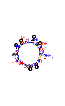 CCCC[C@H]1C(=O)N(C)CC(=O)N[C@@H](CC(O)O)C(=O)N[C@@H](C(C)C)C(=O)N(C)[C@@H](Cc2ccccc2)C(=O)N[C@@H](Cc2ccc(O)cc2)C(=O)N(C)CC(=O)N[C@@H](Cc2c[nH]c3ccccc23)C(=O)N[C@@H](Cc2ccc(O)cc2)C(=O)N[C@@H](CC(C)C)C(=O)N[C@H](C(=O)NCC(N)=O)CSCC(=O)N[C@@H](Cc2ccccc2)C(=O)N(C)[C@@H](Cc2ccccc2)C(=O)N1C